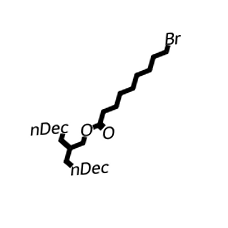 CCCCCCCCCCCC(CCCCCCCCCCC)COC(=O)CCCCCCCCBr